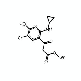 CCCOC(=O)CC(=O)c1cc(Cl)c(O)nc1NC1CC1